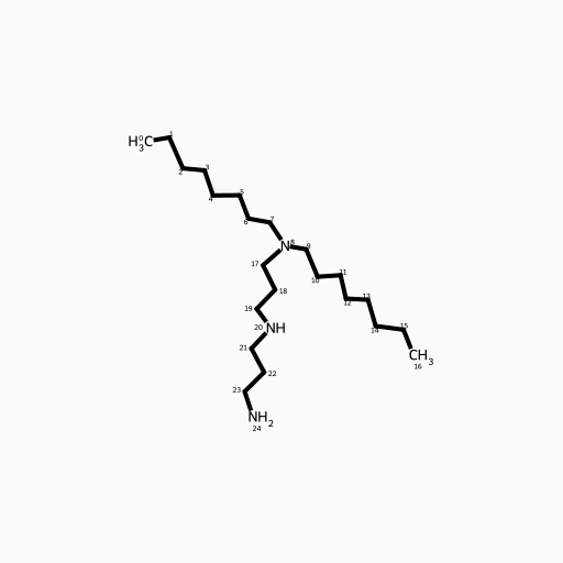 CCCCCCCCN(CCCCCCCC)CCCNCCCN